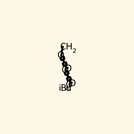 C=CCCCOc1ccc(-c2ccc(C(=O)Oc3ccc(-c4ccc(C(=O)OC[C@@H](C)CC)cc4)cc3)cc2)cc1